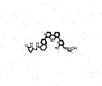 COc1nc(-c2cccc(-c3ccnc(-c4ccc5c(c4)CCC[C@H]5NC[C@H]4CCC(=O)N4)c3Cl)c2Cl)ccc1CNC[C@@H](C)O